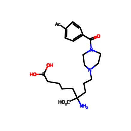 CC(=O)c1ccc(C(=O)N2CCN(CCCC(N)(CCCCB(O)O)C(=O)O)CC2)cc1